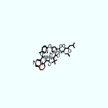 CCC[C@H](NC(=O)[C@@H]1C[C@@H](Oc2ccc(C)cn2)CN1C(=O)[C@@H](NC(=O)[C@@H](NC(=O)c1cnccn1)C1CCCCC1)C(C)(C)C)C(=O)C(=O)CC(C)C